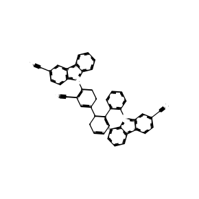 N#CC1=C(n2c3ccccc3c3cc(C#N)ccc32)CCC(C2CC=CC=C2c2ccccc2-n2c3ccccc3c3ccc(C#N)cc32)=C1